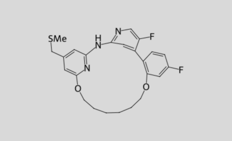 CSCc1cc2nc(c1)OCCCCCCOc1cc(F)ccc1-c1cc(ncc1F)N2